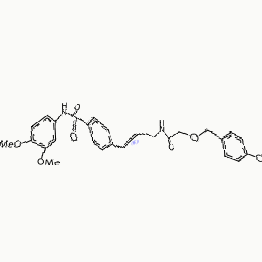 COc1ccc(NS(=O)(=O)c2ccc(/C=C/CNC(=O)COCc3ccc(Cl)cc3)cc2)cc1OC